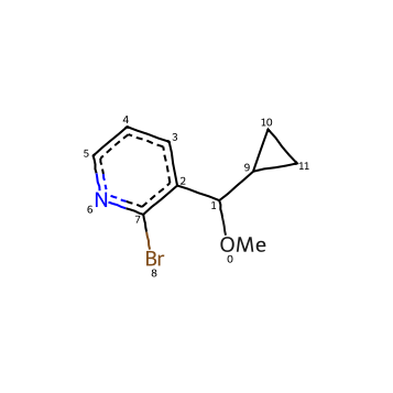 COC(c1cccnc1Br)C1CC1